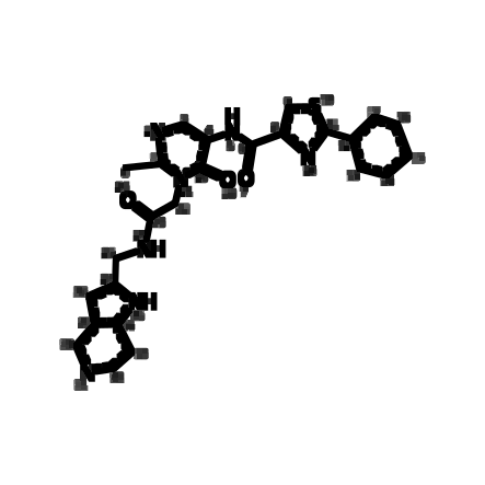 Cc1ncc(NC(=O)c2csc(-c3ccccc3)n2)c(=O)n1CC(=O)NCc1cc2cnccc2[nH]1